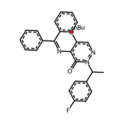 CCCCOc1cnn(C(C)c2ccc(F)cc2)c(=O)c1N=C(c1ccccc1)c1ccccc1